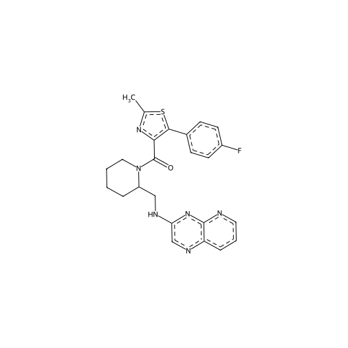 Cc1nc(C(=O)N2CCCCC2CNc2cnc3cccnc3n2)c(-c2ccc(F)cc2)s1